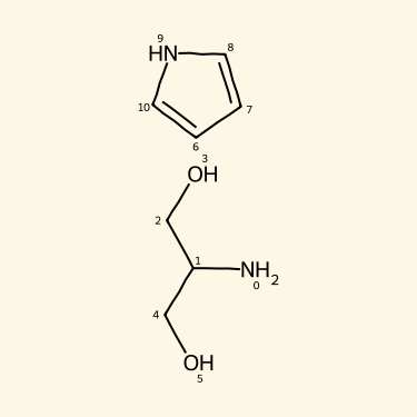 NC(CO)CO.c1cc[nH]c1